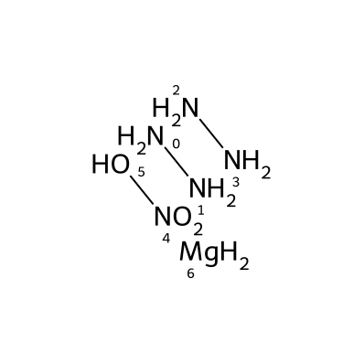 NN.NN.O=[N+]([O-])O.[MgH2]